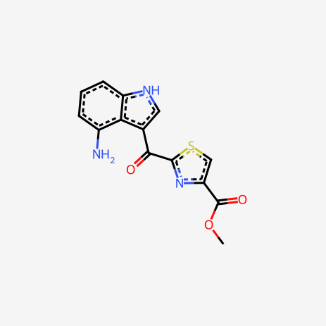 COC(=O)c1csc(C(=O)c2c[nH]c3cccc(N)c23)n1